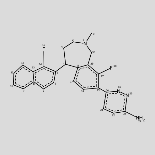 CN1CCC(c2ccc3ccccc3c2F)c2ccc(-c3ccc(N)nn3)c(F)c2C1